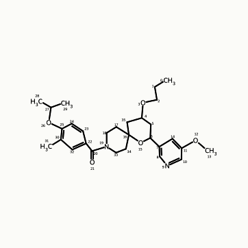 CCCOC1CC(c2cncc(OC)c2)OC2(CCN(C(=O)c3ccc(OC(C)C)c(C)c3)CC2)C1